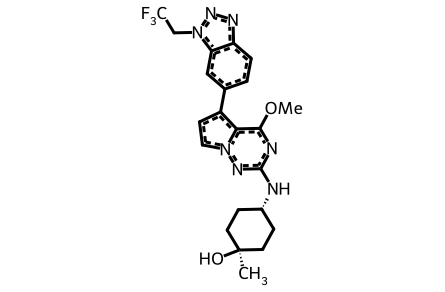 COc1nc(N[C@H]2CC[C@](C)(O)CC2)nn2ccc(-c3ccc4nnn(CC(F)(F)F)c4c3)c12